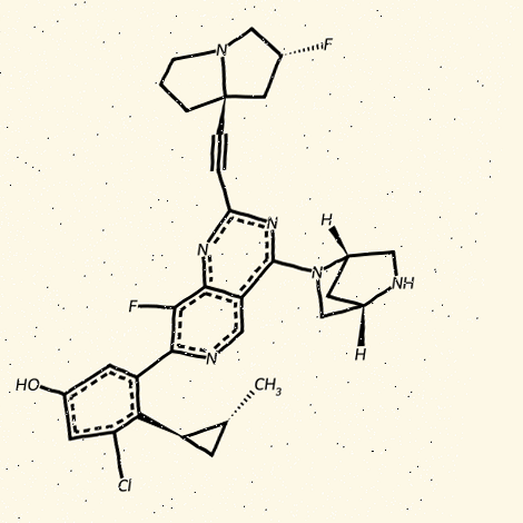 C[C@@H]1C[C@H]1c1c(Cl)cc(O)cc1-c1ncc2c(N3C[C@@H]4C[C@H]3CN4)nc(C#C[C@@]34CCCN3C[C@H](F)C4)nc2c1F